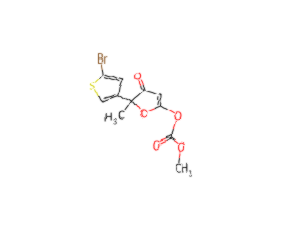 COC(=O)OC1=CC(=O)C(C)(c2csc(Br)c2)O1